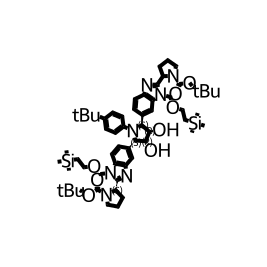 CC(C)(C)OC(=O)N1CCCC1c1nc2ccc([C@H]3[C@@H](O)[C@H](O)[C@H](c4ccc5c(c4)nc([C@@H]4CCCN4C(=O)OC(C)(C)C)n5COCC[Si](C)(C)C)N3c3ccc(C(C)(C)C)cc3)cc2n1COCC[Si](C)(C)C